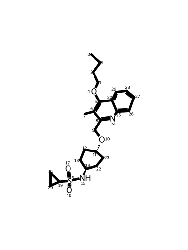 CCCCOc1c(C)c(CO[C@H]2CC[C@H](NS(=O)(=O)C3CC3)CC2)nc2ccccc12